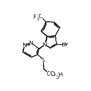 O=C(O)CSc1ccnnc1-n1cc(Br)c2ccc(C(F)(F)F)cc21